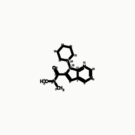 CN(C)C(=O)c1cc2cncnc2n1N1CCCCC1